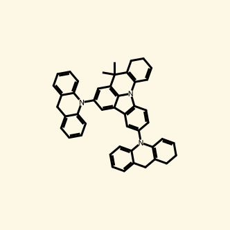 CC1(C)C2=C(C=CCC2)n2c3ccc(N4C5=C(CCC=C5)Cc5ccccc54)cc3c3cc(N4c5ccccc5Cc5ccccc54)cc1c32